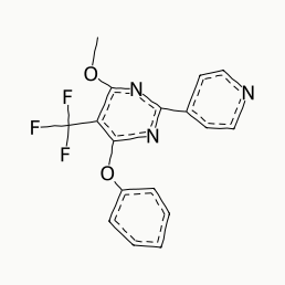 COc1nc(-c2ccncc2)nc(Oc2ccccc2)c1C(F)(F)F